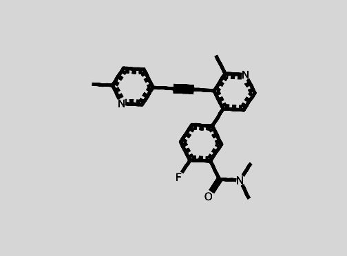 Cc1ccc(C#Cc2c(-c3ccc(F)c(C(=O)N(C)C)c3)ccnc2C)cn1